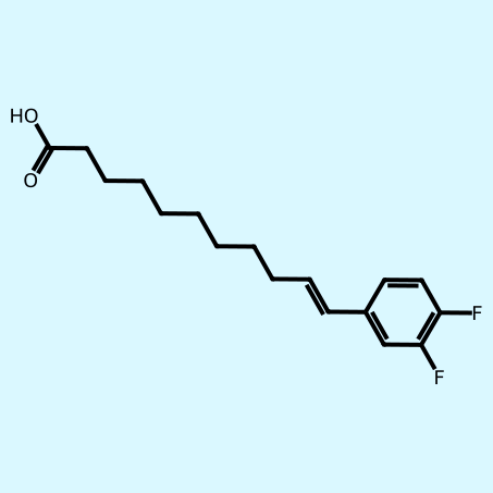 O=C(O)CCCCCCCCC=Cc1ccc(F)c(F)c1